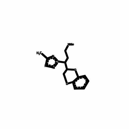 CNCCC(C1COc2ccccc2O1)n1nnc(C)n1